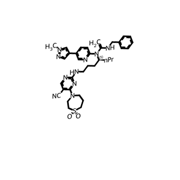 C=C(NCc1ccccc1)N(c1ccc(-c2cnn(C)c2)cn1)[C@@H](CCC)CCCNc1ncc(C#N)c(N2CCCS(=O)(=O)CC2)n1